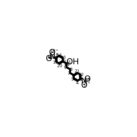 O=[N+]([O-])c1ccc(CCC[C@@H](O)c2ccc([N+](=O)[O-])cc2)cc1